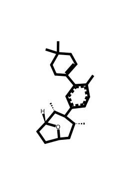 Cc1ccc(C2[C@H](C)CC3CC[C@@H](O3)[C@@H]2C)cc1C1=CCC(C)(C)CC1